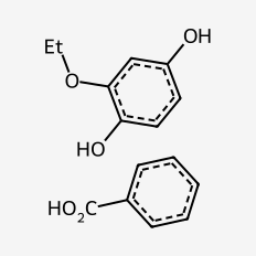 CCOc1cc(O)ccc1O.O=C(O)c1ccccc1